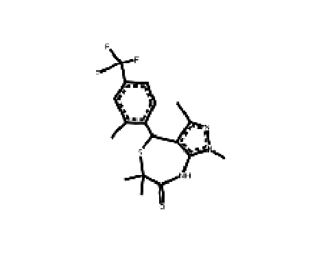 Cc1cc(C(F)(F)F)ccc1C1SC(C)(C)C(=O)Nc2c1c(C)nn2C